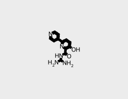 NC(N)NC(=O)c1nc(-c2ccncc2)ccc1O